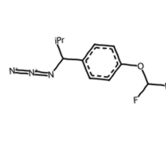 CC(C)C(N=[N+]=[N-])c1ccc(OC(F)F)cc1